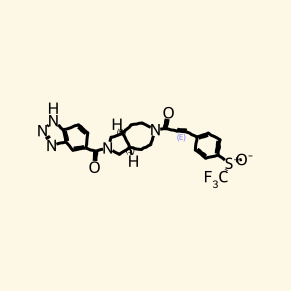 O=C(/C=C/c1ccc([S+]([O-])C(F)(F)F)cc1)N1CC[C@@H]2CN(C(=O)c3ccc4[nH]nnc4c3)C[C@@H]2CC1